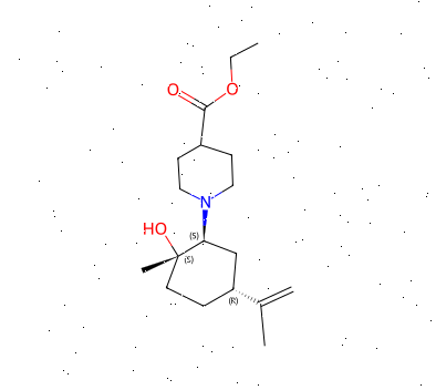 C=C(C)[C@@H]1CC[C@](C)(O)[C@@H](N2CCC(C(=O)OCC)CC2)C1